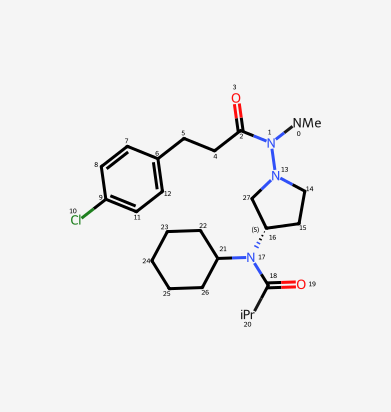 CNN(C(=O)CCc1ccc(Cl)cc1)N1CC[C@H](N(C(=O)C(C)C)C2CCCCC2)C1